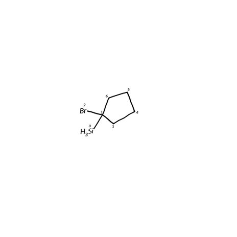 [SiH3]C1(Br)CCCC1